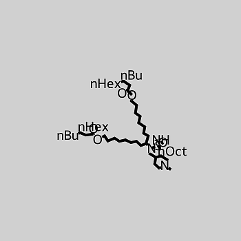 CCCCCCCCS(=N)(=O)N(CC1CCN(C)CC1)C(CCCCCCCCOC(=O)CC(CCCC)CCCCCC)CCCCCCCCOC(=O)CC(CCCC)CCCCCC